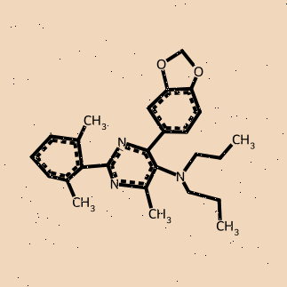 CCCN(CCC)c1c(C)nc(-c2c(C)[c]ccc2C)nc1-c1ccc2c(c1)OCO2